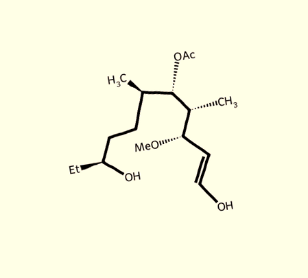 CC[C@H](O)CC[C@@H](C)[C@H](OC(C)=O)[C@H](C)[C@H](/C=C/O)OC